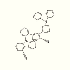 N#Cc1ccc(-c2ccccc2-n2c3ccccc3c3c(C#N)cccc32)cc1-c1cccc(-n2c3ccccc3c3ccccc32)c1